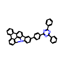 c1ccc(-c2nc(-c3ccccc3)nc(-c3ccc(-c4ccc5c(c4)c4ccc6c7ccccc7c7cccc8c7c6c4n58)cc3)n2)cc1